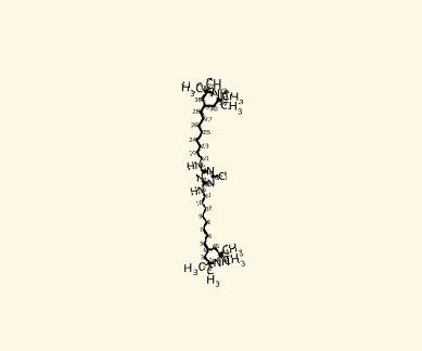 CC1(C)CC(CCCCCCCCNc2nc(Cl)nc(NCCCCCCCCC3CC(C)(C)NC(C)(C)C3)n2)CC(C)(C)N1